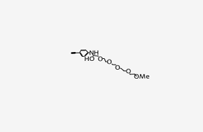 C#Cc1ccc(NC(O)COCCOCCOCCOCCOC)cc1